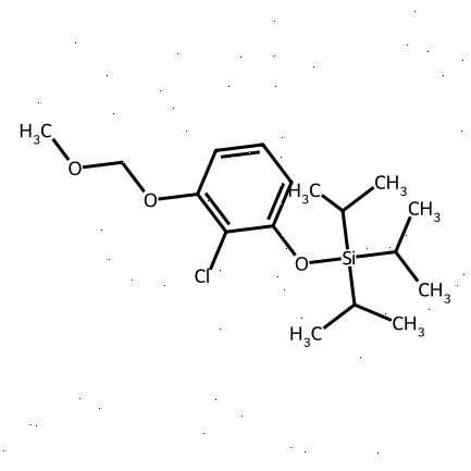 COCOc1cccc(O[Si](C(C)C)(C(C)C)C(C)C)c1Cl